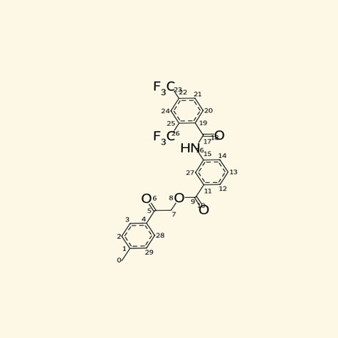 Cc1ccc(C(=O)COC(=O)c2cccc(NC(=O)c3ccc(C(F)(F)F)cc3C(F)(F)F)c2)cc1